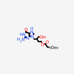 CCCCCCCCCCCC(=O)OCCC(CO)CN1CNc2c1nc(N)[nH]c2=O